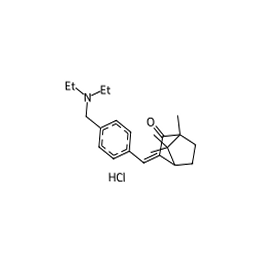 CCN(CC)Cc1ccc(C=C2C(=O)C3(C)CCC2C3(C)C)cc1.Cl